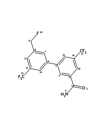 NC(=O)c1cc(-c2cc(CF)cc(C(F)(F)F)c2)cc(C(F)(F)F)c1